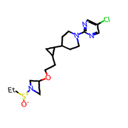 CC[S+]([O-])N1CC(OCCC2CC2C2CCN(c3ncc(Cl)cn3)CC2)C1